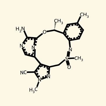 Cc1ccc2c(c1)[C@@H](C)Oc1nc(cnc1N)-c1c(nn(C)c1C#N)CS(C)(=O)=N2